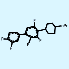 CCCC1CCC(c2c(F)cc(-c3ccc(F)c(F)c3)c(F)c2F)CC1